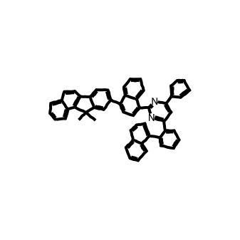 CC1(C)c2cc(-c3ccc(-c4nc(-c5ccccc5)cc(-c5ccccc5-c5cccc6ccccc56)n4)c4ccccc34)ccc2-c2ccc3ccccc3c21